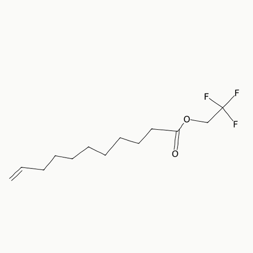 C=CCCCCCCCCC(=O)OCC(F)(F)F